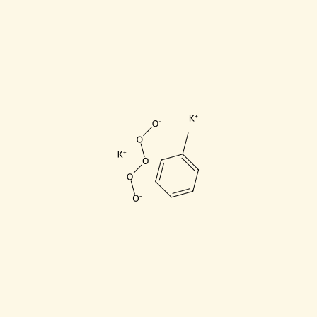 Cc1ccccc1.[K+].[K+].[O-]OOO[O-]